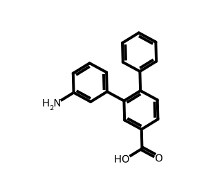 Nc1cccc(-c2cc(C(=O)O)ccc2-c2ccccc2)c1